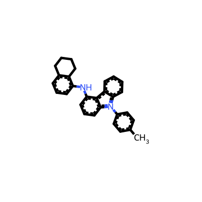 Cc1ccc(-n2c3ccccc3c3c(Nc4cccc5c4CCCC5)cccc32)cc1